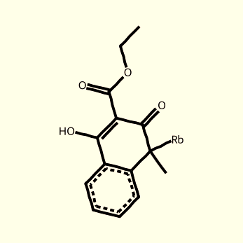 CCOC(=O)C1=C(O)c2ccccc2[C](C)([Rb])C1=O